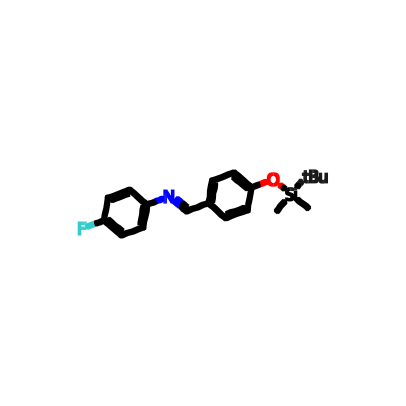 CC(C)(C)[Si](C)(C)Oc1ccc(/C=N/c2ccc(F)cc2)cc1